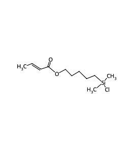 CC=CC(=O)OCCCCC[Si](C)(C)Cl